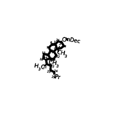 CCCCCCCCCCOC1CC[C@@]2(C)C(=CCC3C2CC[C@@]2(C)C3CC[C@@H]2[C@H](C)CCCC(C)C)C1